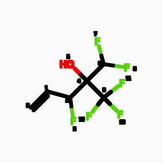 C=CC(F)C(O)(C(F)F)C(F)(F)F